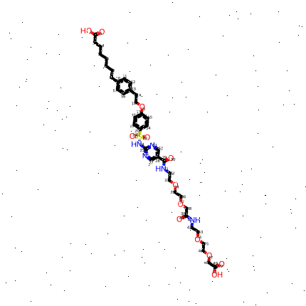 O=C(O)CCCCCCCc1ccc(CCOc2ccc(S(=O)(=O)Nc3ncc(C(=O)NCCOCCOCC(=O)NCCOCCOCC(=O)O)cn3)cc2)cc1